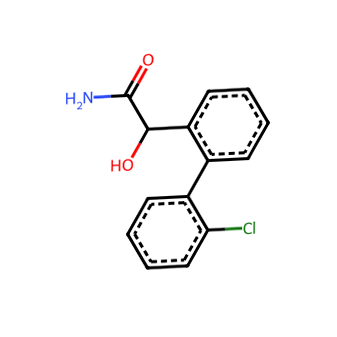 NC(=O)C(O)c1ccccc1-c1ccccc1Cl